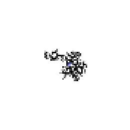 COc1ccc(COC2CCC3(C2)/C(=N/C(=O)OC(C)(C)C)N[C@](C)(c2cc([N+](=O)[O-])ccc2F)CS3(=O)=O)cc1